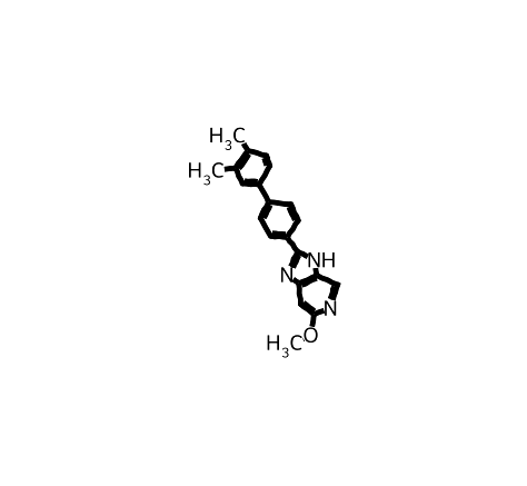 COc1cc2nc(-c3ccc(-c4ccc(C)c(C)c4)cc3)[nH]c2cn1